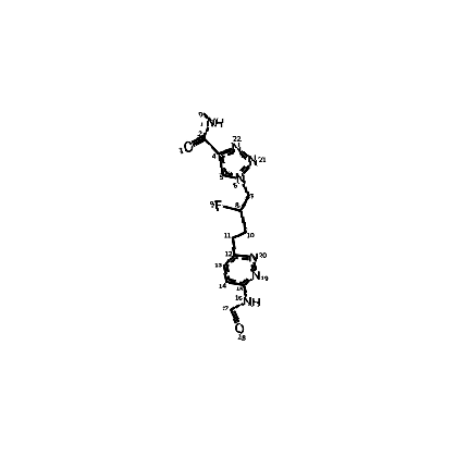 CNC(=O)c1cn(CC(F)CCc2ccc(NC=O)nn2)nn1